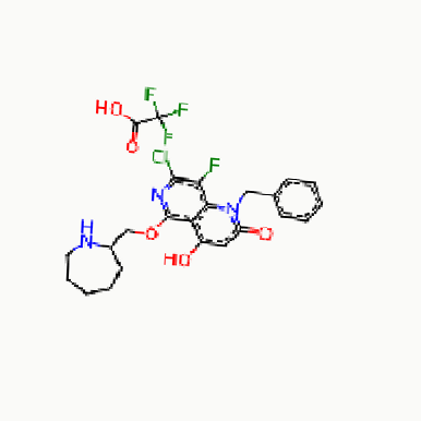 O=C(O)C(F)(F)F.O=c1cc(O)c2c(OCC3CCCCCN3)nc(Cl)c(F)c2n1Cc1ccccc1